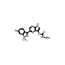 CC[C@H](C)NC(=O)Oc1c[nH]c2ncc(-c3nn(C)c4cc(F)ccc34)nc12